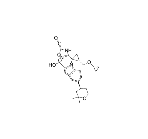 CC1(C)C[C@@H](c2ccc3c(c2)cc(C(=O)O)n3[C@@]2(C3=NOC(=C=O)N3)C[C@@H]2COC2CC2)CCO1